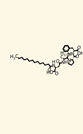 CCCCCCCCCCCCCC(=O)N[C@@H](CC(=O)N[C@@H](C)C(=O)N1CCC[C@H]1C(=O)N[C@@H](Cc1ccccc1)C(=O)O)C(=O)O